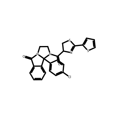 O=C1c2ccccc2C2(c3ccc(Cl)cc3)N1CCN2C(=O)C1CSC(c2cccs2)=N1